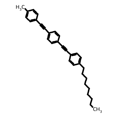 CCCCCCCCCc1ccc(C#Cc2ccc(C#Cc3ccc(C)cc3)cc2)cc1